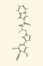 CC(Cn1ccc(-c2cc(F)c(C#N)c(Cl)c2)n1)NC(=O)c1cn2ccccc2n1